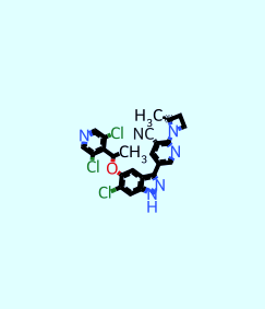 CC(Oc1cc2c(-c3cnc(N4CC[C@@H]4C)c(C#N)c3)n[nH]c2cc1Cl)c1c(Cl)cncc1Cl